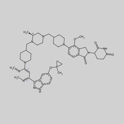 C=N/C(=C\C(=N/C)c1n[nH]c2ccc(OC3(C)CC3)cc12)N1CCC(CN2CCN(CC3CCN(c4ccc5c(c4OC)CN(C4CCC(=O)NC4=O)C5=O)CC3)C[C@@H]2C)CC1